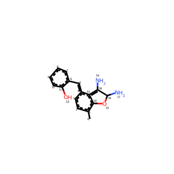 Cc1ccc(=Cc2ccccc2O)c2c1OC(N)C=2N